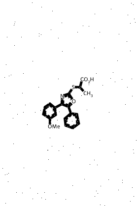 COc1cccc(-c2nc(SC(C)C(=O)O)oc2-c2ccccc2)c1